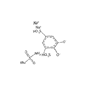 CC(C)(C)S(N)(=O)=O.O=S(=O)(O)c1cc([O-])c([O-])c(S(=O)(=O)O)c1.[Na+].[Na+]